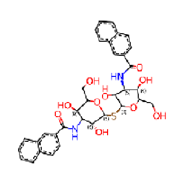 O=C(NC1[C@@H](O)C(CO)O[C@@H](S[C@@H]2OC(CO)[C@H](O)[C@H](NC(=O)c3ccc4ccccc4c3)C2O)[C@@H]1O)c1ccc2ccccc2c1